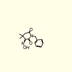 CC1(C)CC(=O)N(Cc2ccccc2)C(=O)C1=NO